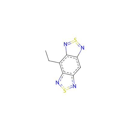 CCc1c2c(cc3nsnc13)N=S=N2